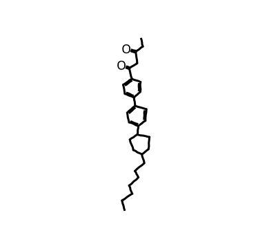 CCCCCCCC1CCC(c2ccc(-c3ccc(C(=O)CC(=O)CC)cc3)cc2)CC1